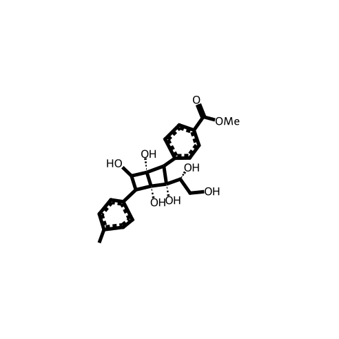 COC(=O)c1ccc(C2[C@]3(O)C(O)C(c4ccc(C)cc4)[C@]3(O)[C@]2(O)[C@H](O)CO)cc1